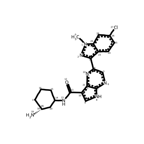 Cn1nc(-c2cnc3[nH]cc(C(=O)NC4CCC[C@@H](N)C4)c3n2)c2ccc(Cl)cc21